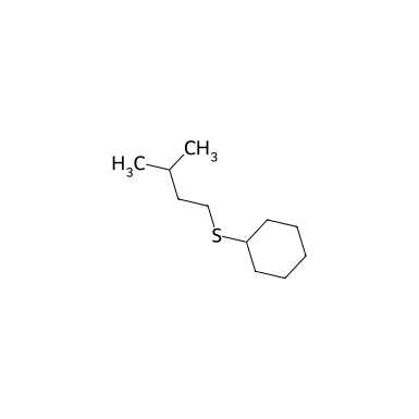 CC(C)CCSC1CCCCC1